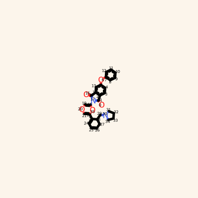 O=C1c2ccc(Oc3ccccc3)cc2C(=O)N1C1=COC=C(C2=CC=CCC2CN2CCCC2)O1